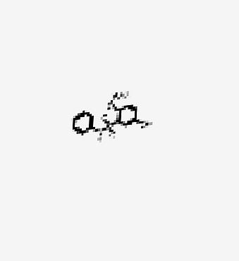 CCCCCCCCOc1ccc(O)cc1S(=O)(=O)Nc1cc[c]cc1